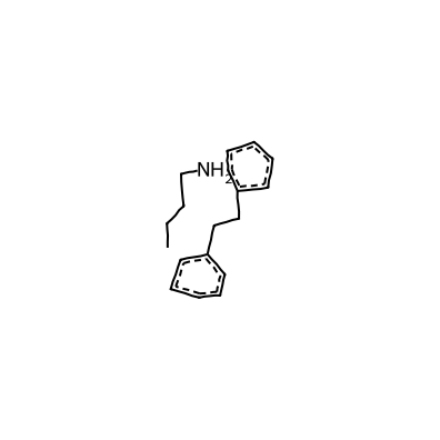 CCCCN.c1ccc(CCc2ccccc2)cc1